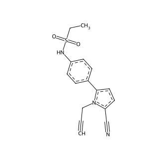 C#CCn1c(C#N)ccc1-c1ccc(NS(=O)(=O)CC)cc1